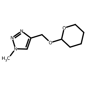 Cn1cc(COC2CCCCO2)nn1